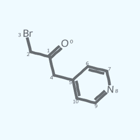 O=C(CBr)Cc1ccncc1